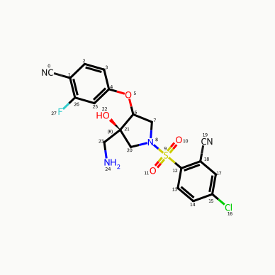 N#Cc1ccc(OC2CN(S(=O)(=O)c3ccc(Cl)cc3C#N)C[C@]2(O)CN)cc1F